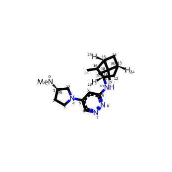 CN[C@@H]1CCN(c2cnnc(N[C@H]3C[C@H]4C[C@@H](C3C)C4(C)C)c2)C1